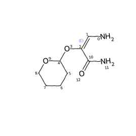 N/C=C(/OC1CCCCO1)C(N)=O